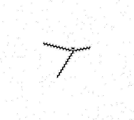 CCCCCCCCCCCCCCCCCCCC1N(CCCCCCCCCC)C=CN1CCCCCCCCCCCCCCCCCC